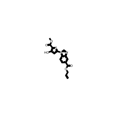 C=CCOC(=O)c1ccc2c(c1)ncn2-c1cc(O)c(C(=O)OC)s1